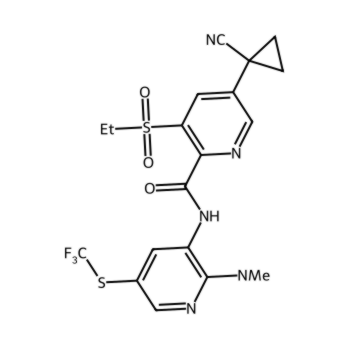 CCS(=O)(=O)c1cc(C2(C#N)CC2)cnc1C(=O)Nc1cc(SC(F)(F)F)cnc1NC